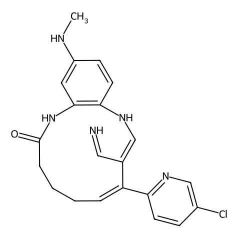 CNc1ccc2c(c1)NC(=O)CCC/C=C(c1ccc(Cl)cn1)\C(C=N)=C\N2